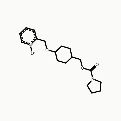 O=C(OCC1CCC(OCc2cccc[n+]2[O-])CC1)N1CCCC1